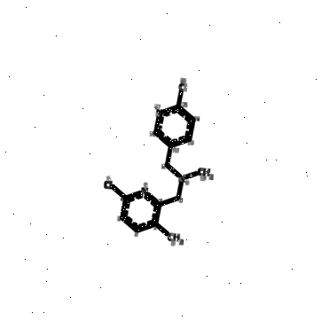 Cc1ccc(Cl)nc1CN(C)Cc1ccc(Cl)nc1